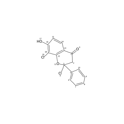 O=C1CC(Cl)(c2ccccc2)Oc2c1ccc(O)c2Cl